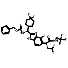 O=C(N[C@H](c1nc2c(F)c([C@H](CC(F)F)C(=O)NCC(F)(F)F)ccc2[nH]1)C1CCC(F)(F)CC1)OCc1ccccc1